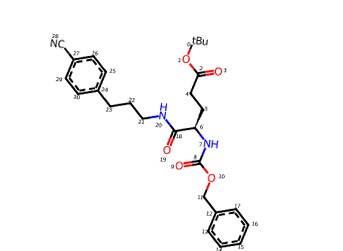 CC(C)(C)OC(=O)CC[C@@H](NC(=O)OCc1ccccc1)C(=O)NCCCc1ccc(C#N)cc1